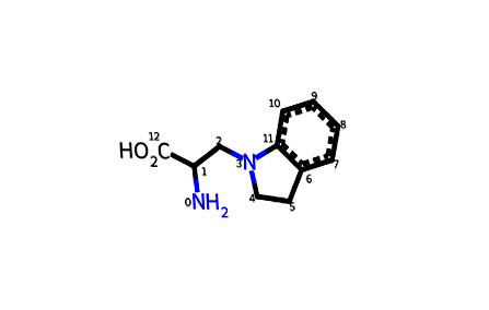 NC(CN1CCc2ccccc21)C(=O)O